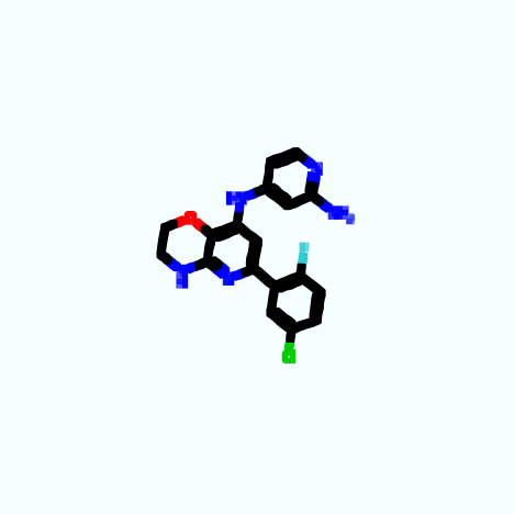 Nc1cc(Nc2cc(-c3cc(Cl)ccc3F)nc3c2OCCN3)ccn1